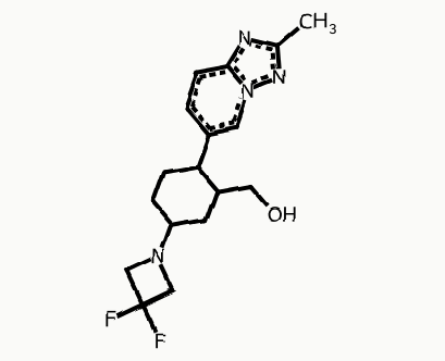 Cc1nc2ccc(C3CCC(N4CC(F)(F)C4)CC3CO)cn2n1